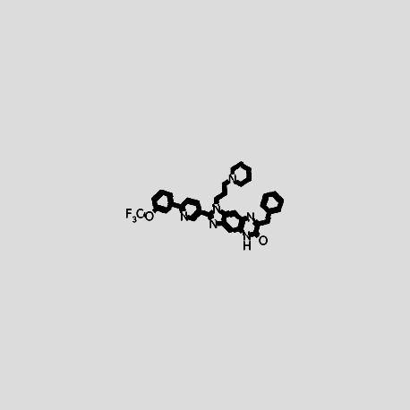 O=c1[nH]c2cc3nc(-c4ccc(-c5cccc(OC(F)(F)F)c5)nc4)n(CCCN4CCCCC4)c3cc2nc1Cc1ccccc1